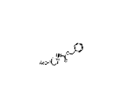 CC(=O)ON1CC[C@@H](NC(=O)OCc2ccccc2)C1